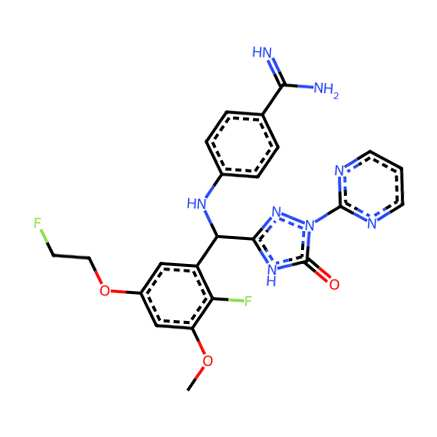 COc1cc(OCCF)cc(C(Nc2ccc(C(=N)N)cc2)c2nn(-c3ncccn3)c(=O)[nH]2)c1F